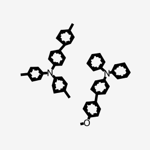 COc1ccc(-c2ccc(N(c3ccccc3)c3ccccc3)cc2)cc1.Cc1ccc(-c2ccc(N(c3ccc(C)cc3)c3ccc(C)cc3)cc2)cc1